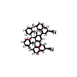 CCc1c(N2c3ccccc3Sc3ccccc32)c(-c2cccc(C#N)c2)cc(-c2cccc(C#N)c2)c1N1c2ccccc2Sc2ccccc21